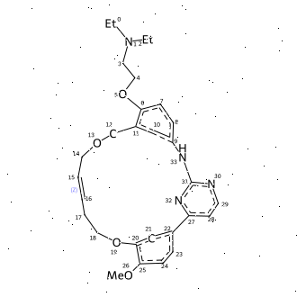 CCN(CC)CCOc1ccc2cc1COC/C=C\CCOc1cc(ccc1OC)-c1ccnc(n1)N2